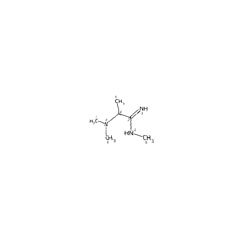 CNC(=N)C(C)N(C)C